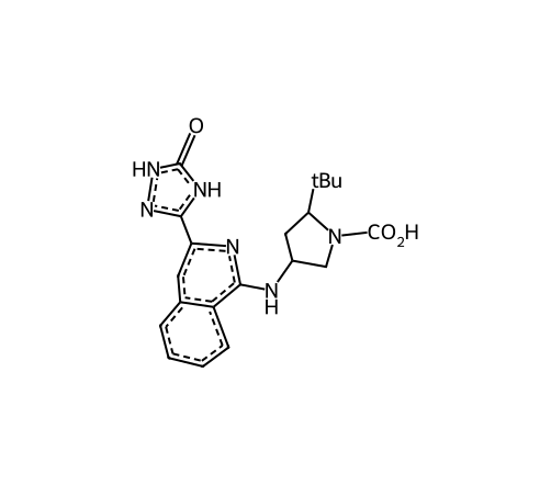 CC(C)(C)C1CC(Nc2nc(-c3n[nH]c(=O)[nH]3)cc3ccccc23)CN1C(=O)O